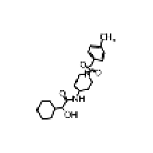 Cc1ccc(S(=O)(=O)N2CCC(NC(=O)C(O)C3CCCCC3)CC2)cc1